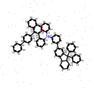 C1=CC2c3ccc(-c4cccc(N(c5ccccc5)c5ccccc5-c5ccc6ccccc6c5-c5ccc(-c6ccccc6)cc5)c4)cc3C(c3ccccc3)(c3ccccc3)C2C=C1